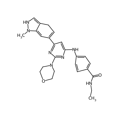 CCNC(=O)c1ccc(Nc2cc(C3=CCC4=CNN(C)C4=C3)nc(N3CCOCC3)n2)cc1